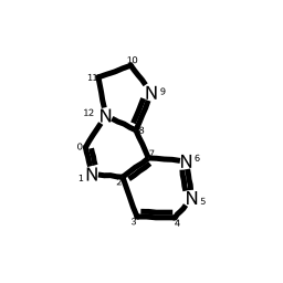 C1=Nc2ccnnc2C2=NCCN12